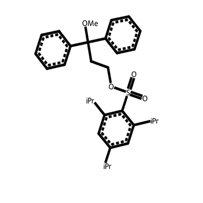 COC(CCOS(=O)(=O)c1c(C(C)C)cc(C(C)C)cc1C(C)C)(c1ccccc1)c1ccccc1